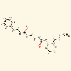 CCCCC1CCCC[C@@H]1CC(=O)CCCCC(=O)CCCc1ccccc1